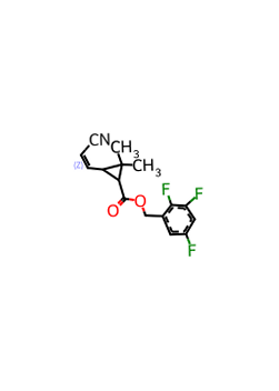 CC1(C)C(/C=C\C#N)C1C(=O)OCc1cc(F)cc(F)c1F